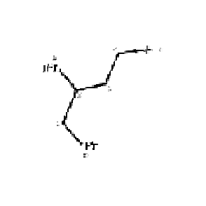 CC(C)CC(CCF)C(C)C